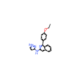 CCOc1ccc(-c2nc(Nc3cc[nH]n3)cc3ccccc23)cc1